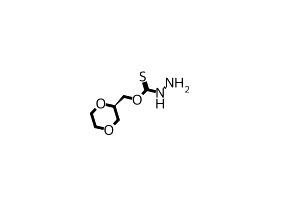 NNC(=S)OC[C@H]1COCCO1